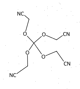 N#CCOC(OCC#N)(OCC#N)OCC#N